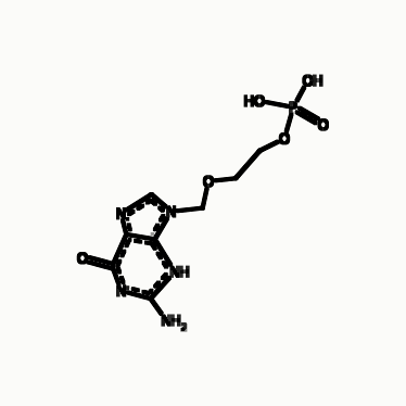 Nc1nc(=O)c2ncn(COCCOP(=O)(O)O)c2[nH]1